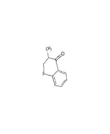 CC1CSc2ccccc2C1=O